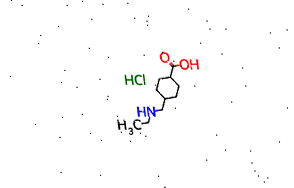 CCNCC1CCC(C(=O)O)CC1.Cl